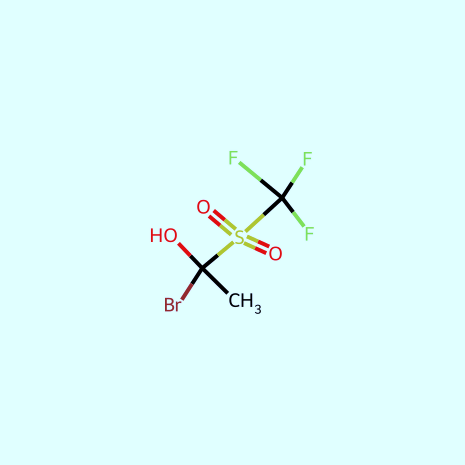 CC(O)(Br)S(=O)(=O)C(F)(F)F